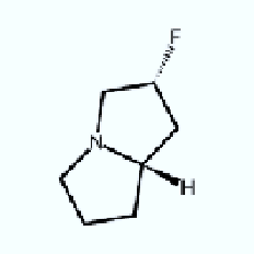 F[C@@H]1C[C@@H]2CCCN2C1